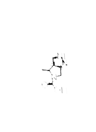 CC1c2c[nH]nc2CN1C(=O)O